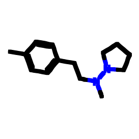 Cc1ccc(CCN(C)N2CCCC2)cc1